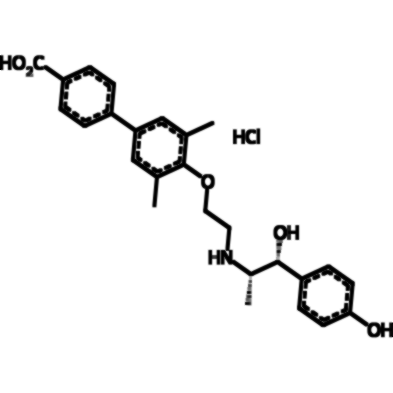 Cc1cc(-c2ccc(C(=O)O)cc2)cc(C)c1OCCN[C@@H](C)[C@H](O)c1ccc(O)cc1.Cl